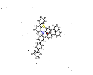 c1ccc(-c2cccc3cccc(-c4ccc(N(c5ccc(-c6ccc(C78CCC(CC7)C8)cc6)cc5)c5cccc6c5sc5ccccc56)cc4)c23)cc1